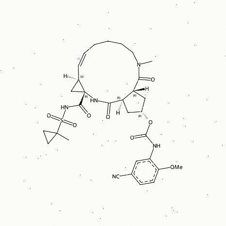 COc1ccc(C#N)cc1NC(=O)O[C@@H]1C[C@H]2C(=O)N[C@]3(C(=O)NS(=O)(=O)C4(C)CC4)C[C@H]3/C=C\CCCCN(C)C(=O)[C@@H]2C1